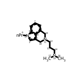 CCCn1cc2c3c(cccc31)CN(CCCN(C)C)C2